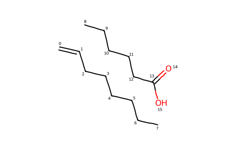 C=CCCCCCC.CCCCCC(=O)O